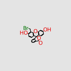 O=C1OC2(c3ccc(O)cc3Oc3c2ccc(O)c3CBr)c2ccccc21